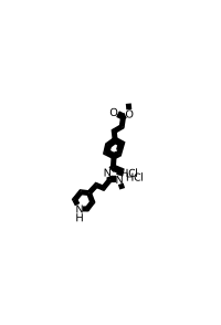 COC(=O)CCc1ccc(-c2cn(C)c(CCC3CCNCC3)n2)cc1.Cl.Cl